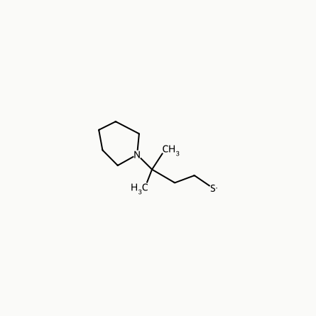 CC(C)(CC[S])N1CCCCC1